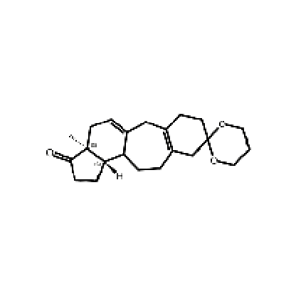 C[C@]12CC=C3CC4=C(CCC3[C@@H]1CCC2=O)CC1(CC4)OCCCO1